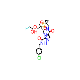 CC(C)(CO[C@H](O)CF)S(=O)(=O)C1(CN2CCn3c(cnc3C(=O)NCc3ccc(Cl)cc3)C2=O)CC1